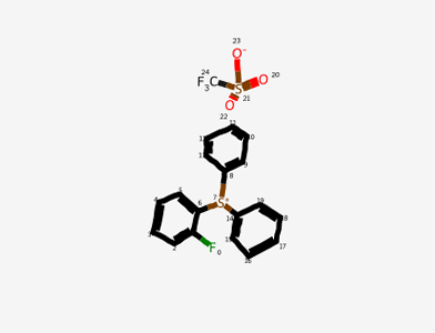 Fc1ccccc1[S+](c1ccccc1)c1ccccc1.O=S(=O)([O-])C(F)(F)F